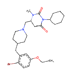 CCOc1ccc(Br)c(CC2CCN(CC3CC(=O)N(C4CCCCC4)C(=O)N3C)CC2)c1